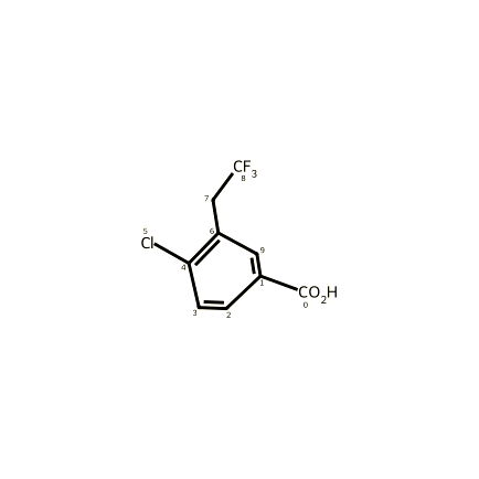 O=C(O)c1ccc(Cl)c(CC(F)(F)F)c1